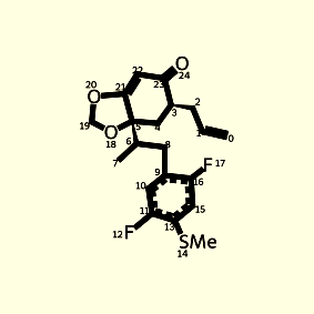 C=CC[C@H]1C[C@]2(C(C)Cc3cc(F)c(SC)cc3F)OCOC2=CC1=O